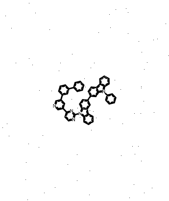 c1ccc(-c2cccc(-c3cncc(-c4ccnc(-n5c6ccccc6c6cc(-c7ccc8c9ccccc9n(-c9ccccc9)c8c7)ccc65)n4)c3)c2)cc1